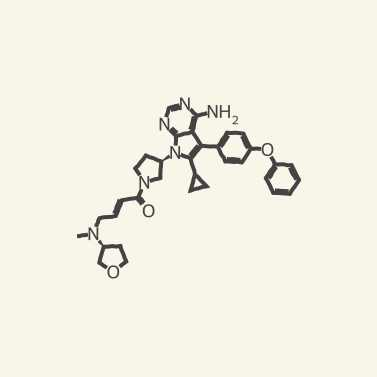 CN(CC=CC(=O)N1CC[C@@H](n2c(C3CC3)c(-c3ccc(Oc4ccccc4)cc3)c3c(N)ncnc32)C1)[C@H]1CCOC1